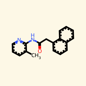 Cc1cccnc1NC(=O)Cc1cccc2ccccc12